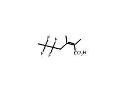 CC(CC(F)(F)C(C)(F)F)=C(C)C(=O)O